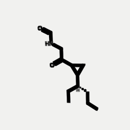 CCC[C@H](CC)C1CC1C(=O)CNC=O